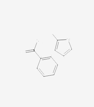 Cc1ccc[nH]1.NC(=O)c1ccccc1